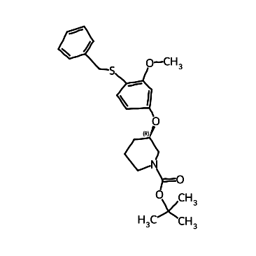 COc1cc(O[C@@H]2CCCN(C(=O)OC(C)(C)C)C2)ccc1SCc1ccccc1